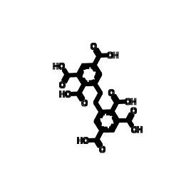 O=C(O)c1cc(CCc2cc(C(=O)O)cc(C(=O)O)c2C(=O)O)c(C(=O)O)c(C(=O)O)c1